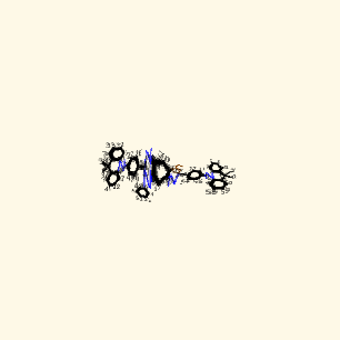 CC1(C)c2ccccc2N(c2ccc(-c3nc4cc5c(cc4s3)nc(-c3ccc(N4c6ccccc6C(C)(C)c6ccccc64)cc3)n5-c3ccccc3)cc2)c2ccccc21